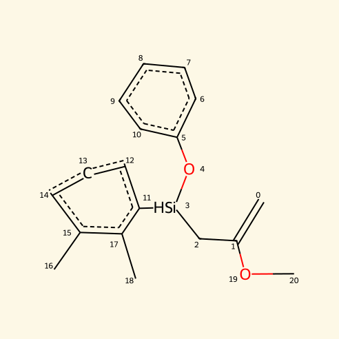 C=C(C[SiH](Oc1ccccc1)c1cccc(C)c1C)OC